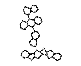 c1ccc2cc3c(cc2c1)oc1c(-c2ccc4cc(-c5c6ccccc6c(-c6cccc7ccccc67)c6ccccc56)ccc4c2)c2c(cc13)sc1ccccc12